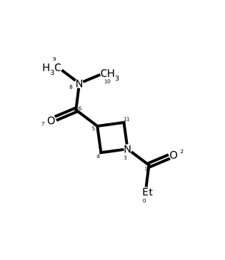 CCC(=O)N1CC(C(=O)N(C)C)C1